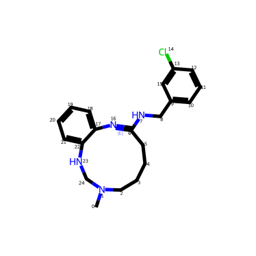 CN1CCCC/C(NCc2cccc(Cl)c2)=N\c2ccccc2NC1